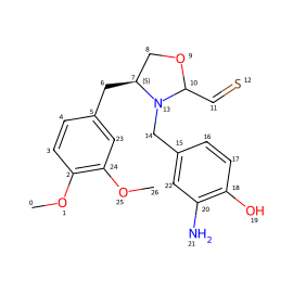 COc1ccc(C[C@H]2COC(C=S)N2Cc2ccc(O)c(N)c2)cc1OC